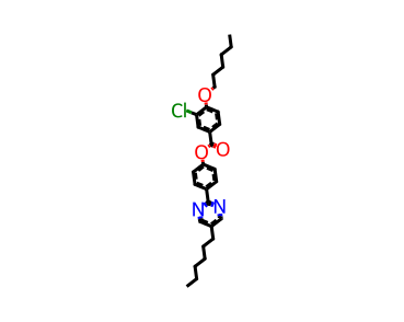 CCCCCCOc1ccc(C(=O)Oc2ccc(-c3ncc(CCCCCC)cn3)cc2)cc1Cl